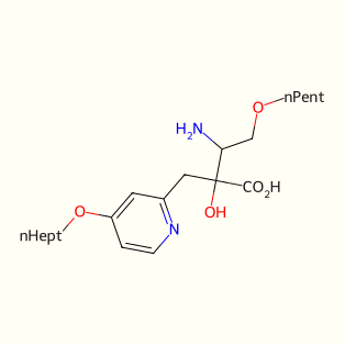 CCCCCCCOc1ccnc(CC(O)(C(=O)O)C(N)COCCCCC)c1